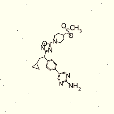 CS(=O)(=O)C1CCN(c2nc(C(CC3CC3)c3ccc(-c4cnc(N)nc4)cc3)no2)CC1